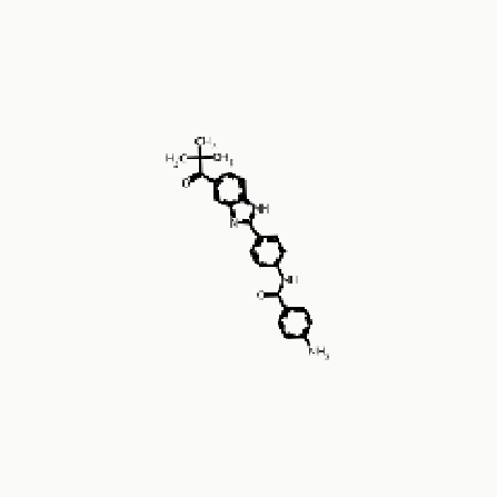 CC(C)(C)C(=O)c1ccc2[nH]c(-c3ccc(NC(=O)c4ccc(N)cc4)cc3)nc2c1